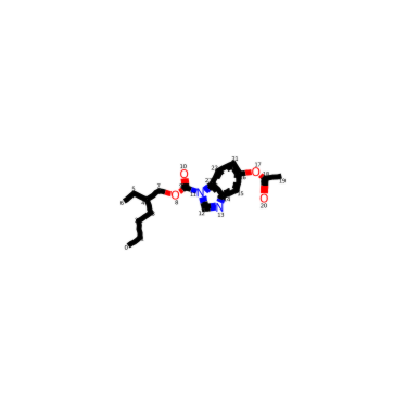 CCCCC(CC)COC(=O)n1cnc2cc(OC(C)=O)ccc21